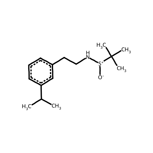 CC(C)c1cccc(CCN[S+]([O-])C(C)(C)C)c1